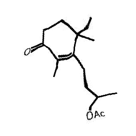 CC(=O)OC(C)CCC1=C(C)C(=O)CCC1(C)C